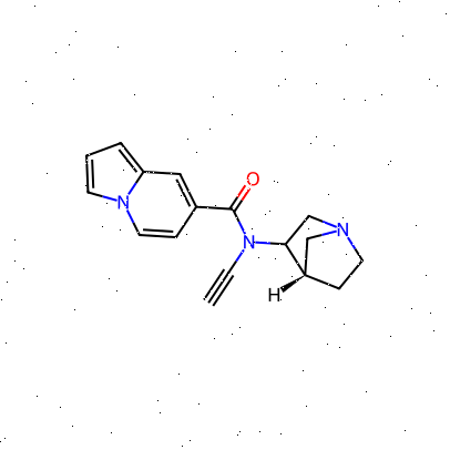 C#CN(C(=O)c1ccn2cccc2c1)C1CN2CC[C@H]1C2